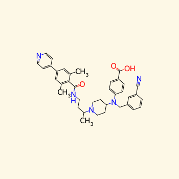 Cc1cc(-c2ccncc2)cc(C)c1C(=O)NCCC(C)N1CCC(N(Cc2cccc(C#N)c2)c2ccc(C(=O)O)cc2)CC1